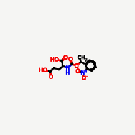 CC(OC(=O)NC(CCC(=O)O)C(=O)O)c1ccccc1[N+](=O)[O-]